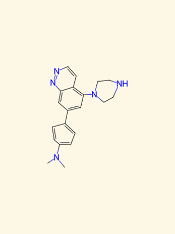 CN(C)c1ccc(-c2cc(N3CCNCC3)c3ccnnc3c2)cc1